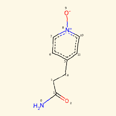 NC(=O)C[CH]c1cc[n+]([O-])cc1